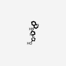 OC1CCN(c2ccc(Nc3ccnc4ccccc34)cn2)C1